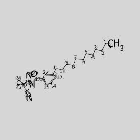 CCCCCCCCCCCCc1cccc(-c2nc(C3(C#N)CC3)no2)c1